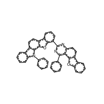 c1ccc(-c2nc(-c3cccc4c3oc3c4ccc4c5ccccc5n(-c5ccccc5)c43)nc3ccc4c5ccccc5oc4c23)cc1